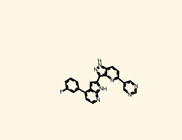 Fc1cccc(-c2ccnc3[nH]c(-c4n[nH]c5ccc(-c6cncnc6)nc45)cc23)c1